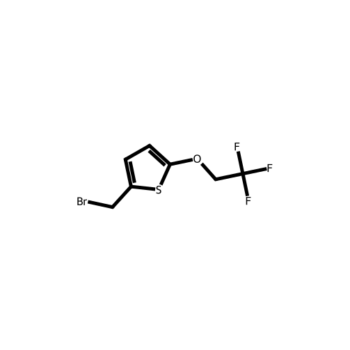 FC(F)(F)COc1ccc(CBr)s1